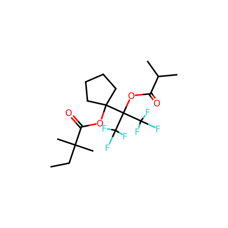 CCC(C)(C)C(=O)OC1(C(OC(=O)C(C)C)(C(F)(F)F)C(F)(F)F)CCCC1